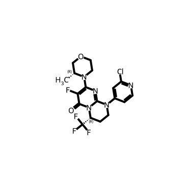 C[C@@H]1COCCN1c1nc2n(c(=O)c1F)[C@@H](C(F)(F)F)CCN2c1ccnc(Cl)c1